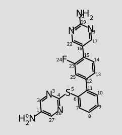 Nc1cnc(Sc2ccccc2-c2ccc(-c3cnc(N)nc3)c(F)c2)nc1